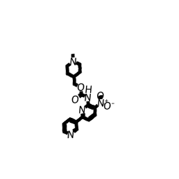 CN1CCC(COC(=O)Nc2nc(-c3cccnc3)ccc2[N+](=O)[O-])CC1